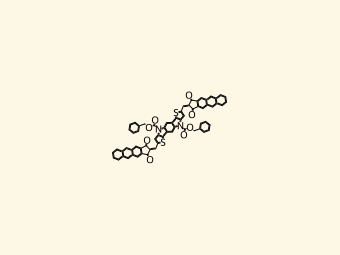 O=C1C(=Cc2cc3c(s2)c2cc4c(cc2n3C(=O)OCc2ccccc2)c2sc(C=C3C(=O)c5cc6cc7ccccc7cc6cc5C3=O)cc2n4C(=O)OCc2ccccc2)C(=O)c2cc3cc4ccccc4cc3cc21